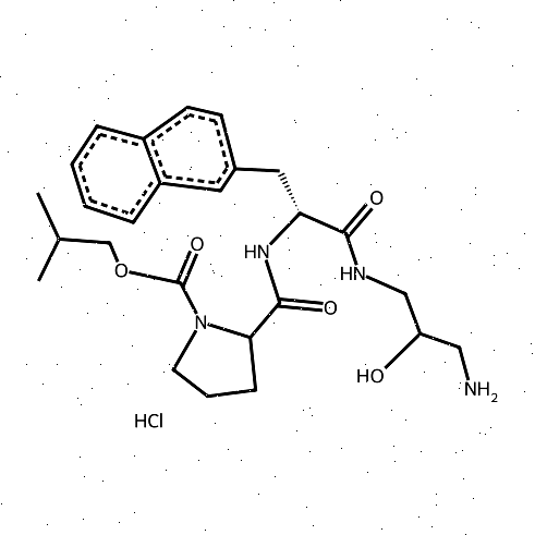 CC(C)COC(=O)N1CCCC1C(=O)N[C@H](Cc1ccc2ccccc2c1)C(=O)NCC(O)CN.Cl